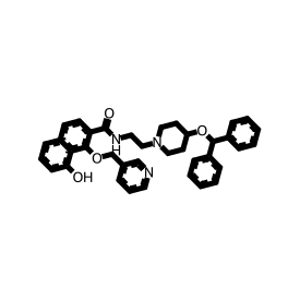 O=C(NCCN1CCC(OC(c2ccccc2)c2ccccc2)CC1)c1ccc2cccc(O)c2c1OCc1cccnc1